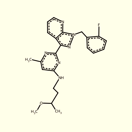 COC(C)CCNc1cc(C)nc(-c2nn(Cc3ccccc3F)c3ncccc23)n1